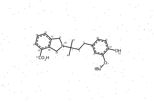 CC(C)(C)Oc1cc(CCC(C)(C)N2Cc3cccc(C(=O)O)c3C2)ccc1O